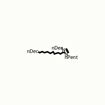 CCCCCCCCCCCCCCCCCCCc1n(CCCCC)cc[n+]1CCCCCCCCCC